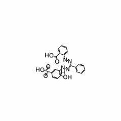 O=C(O)c1ccccc1N=NC(=NNc1cc(S(=O)(=O)O)ccc1O)c1ccccc1